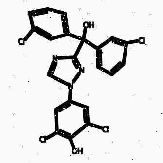 Oc1c(Cl)cc(-n2cnc(C(O)(c3cccc(Cl)c3)c3cccc(Cl)c3)n2)cc1Cl